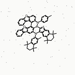 Cc1ccc(N2B3c4sc5cc6c(cc5c4N(c4cc5c(cc4C)C(C)(C)CCC5(C)C)c4cc5c(oc7ccccc75)c(c43)-c3c2ccc2oc4ccccc4c32)C(C)(C)CCC6(C)C)cc1